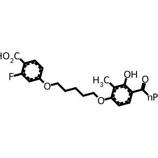 CCCC(=O)c1ccc(OCCCCCOc2ccc(C(=O)O)c(F)c2)c(C)c1O